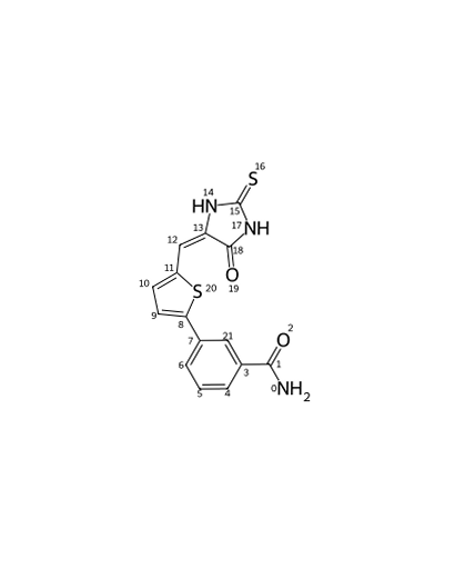 NC(=O)c1cccc(-c2ccc(C=C3NC(=S)NC3=O)s2)c1